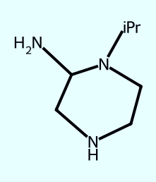 CC(C)N1CCNCC1N